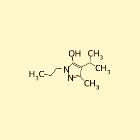 CCCn1nc(C)c(C(C)C)c1O